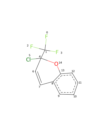 FC(F)(F)C1(Cl)C=Cc2ccccc2O1